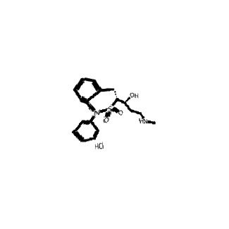 CNCC[C@H](O)[C@H]1Cc2ccccc2N(c2ccccc2)S1(=O)=O.Cl